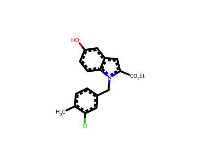 CCOC(=O)c1cc2cc(O)ccc2n1Cc1ccc(C)c(Cl)c1